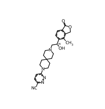 Cc1c([C@@H](O)CN2CCC3(CC2)CCN(c2ccc(C#N)nn2)CC3)ccc2c1COC2=O